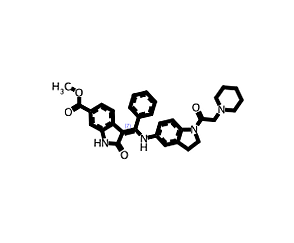 COC(=O)c1ccc2c(c1)NC(=O)/C2=C(\Nc1ccc2c(c1)CCN2C(=O)CN1CCCCC1)c1ccccc1